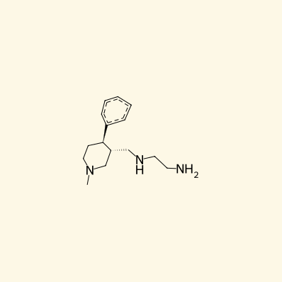 CN1CC[C@@H](c2ccccc2)[C@H](CNCCN)C1